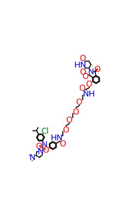 CC(C)c1ccc(N=S(=O)(Oc2ccc(C(=O)NCCOCCOCCOCCOCCNC(=O)COc3cccc4c3C(=O)N(C3CCC(=O)NC3=O)C4=O)cc2)N2CC[C@H](N(C)C)C2)cc1Cl